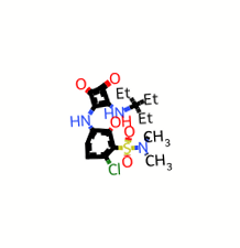 CCC(CC)(CC)Nc1c(Nc2ccc(Cl)c(S(=O)(=O)N(C)C)c2O)c(=O)c1=O